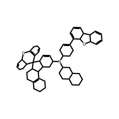 C1=CC2OC3C(C4=CCC(N(C5C=CC6C(C5)C5C7=C(CCCC7)CCC5C65C6=C(CCC=C6)OC6C=CCCC65)C5CCC6CCCCC6C5)CC4)=CC=CC3C2C=C1